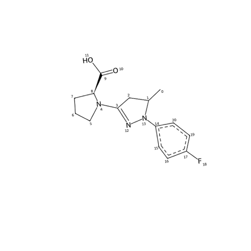 CC1CC(N2CCC[C@H]2C(=O)O)=NN1c1ccc(F)cc1